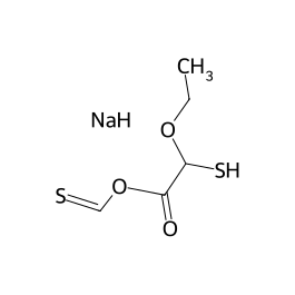 CCOC(S)C(=O)OC=S.[NaH]